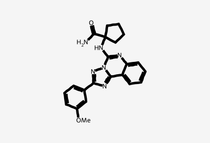 COc1cccc(-c2nc3c4ccccc4nc(NC4(C(N)=O)CCCC4)n3n2)c1